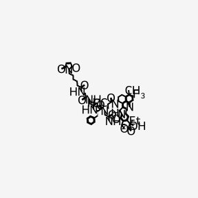 CC[C@@]1(O)C(=O)OCc2c1cc1n(c2=O)Cc2c-1nc1cc(F)c(C)c3c1c2[C@@H](NC(=O)[C@@H](C)CN(CC(N)=O)C(=O)[C@H](Cc1ccccc1)NC(=O)CNC(=O)CNC(=O)CCCCCN1C(=O)C=CC1=O)CC3